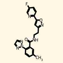 Cc1ccc(-n2nccn2)c(C(=O)NCCc2cc(-c3ccc(F)cn3)on2)c1